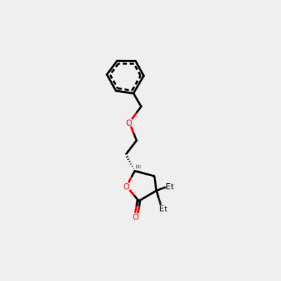 CCC1(CC)C[C@@H](CCOCc2ccccc2)OC1=O